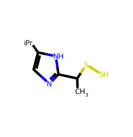 CC(C)c1cnc(C(C)SS)[nH]1